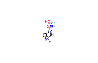 CCC(CO)NC(=O)[C@@H]1C=C2c3cccc4c3c(c(C3CC3)n4C)C[C@H]2N(C)C1